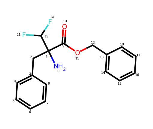 NC(Cc1ccccc1)(C(=O)OCc1ccccc1)C(F)F